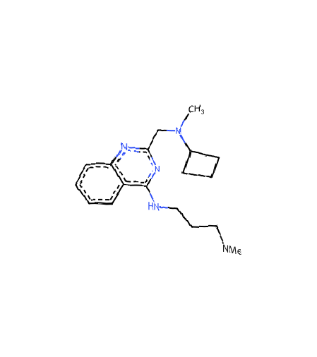 CNCCCNc1nc(CN(C)C2CCC2)nc2ccccc12